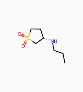 CCCN[C@H]1CCS(=O)(=O)C1